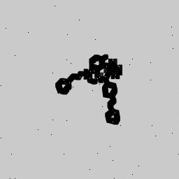 Cc1cccc(C)c1-n1nnnc1C(c1ccc(C=Cc2ccccc2)cc1)N1CCN(CC=Cc2ccccc2)CC1